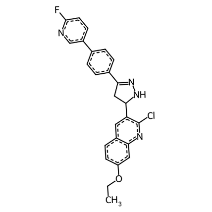 CCOc1ccc2cc(C3CC(c4ccc(-c5ccc(F)nc5)cc4)=NN3)c(Cl)nc2c1